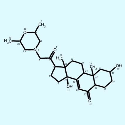 CC1CN(CC(=O)C2CC[C@@]3(O)C4=CC(=O)C5CCC(O)CC5(C)C4CCC23C)CC(C)O1